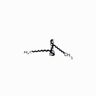 CCCCCCCCCCCCc1c(/C=C/c2sc3ccsc3c2CCCCCCCCCCCC)sc2ccsc12